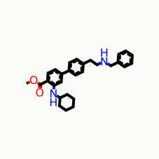 COC(=O)c1ccc(-c2ccc(CCNCc3ccccc3)cc2)cc1NC1CCCCC1